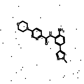 Cn1cc(-c2ccc(N)c(NC(=O)c3ccc(N4CCOCC4)nn3)c2)cn1